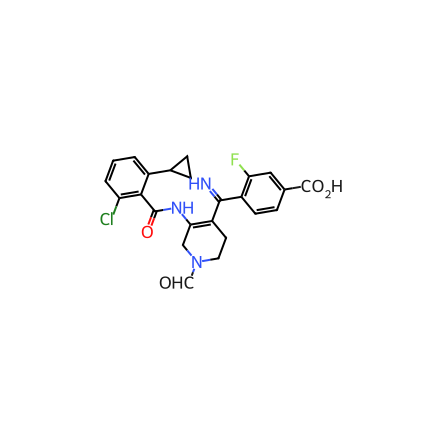 N=C(C1=C(NC(=O)c2c(Cl)cccc2C2CC2)CN(C=O)CC1)c1ccc(C(=O)O)cc1F